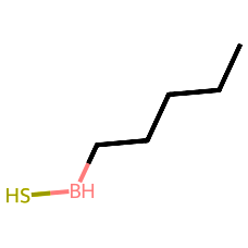 CCCCCBS